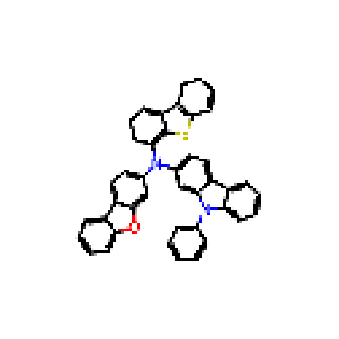 C1=Cc2sc3c(c2CC1)=CCCC=3N(c1ccc2c(c1)oc1ccccc12)c1ccc2c3ccccc3n(-c3ccccc3)c2c1